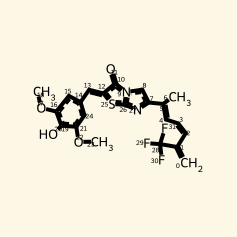 C=C(/C=C\C=C(/C)c1cn2c(=O)/c(=C/c3cc(OC)c(O)c(OC)c3)sc2n1)C(F)(F)F